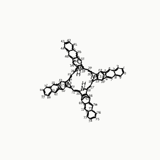 c1ccc2cc3c(cc2c1)C1CCC3C2=C1c1cc3[nH]c(cc4nc(cc5[nH]c(cc2n1)c1c5C2CCC1c1cc5ccccc5cc12)C1=C4C2CCC1c1cc4ccccc4cc12)c1c3C2CCC1c1cc3ccccc3cc12